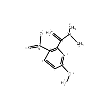 C=C(c1nc(OC)ccc1[N+](=O)[O-])N(C)C